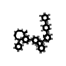 C=C1/C=C\C=C/CN(c2ccccc2)c2ccc(-c3ccc4c(c3)c3ccccc3n4-c3nccc(-c4ccc(-c5ccccc5)cc4)n3)cc21